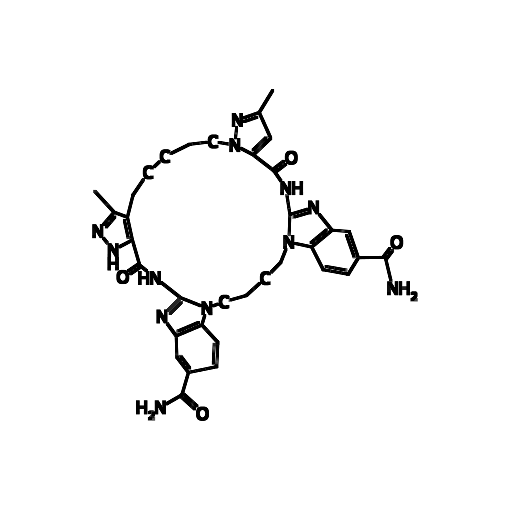 Cc1cc2n(n1)CCCCCc1c(C)n[nH]c1C(=O)Nc1nc3cc(C(N)=O)ccc3n1CCCCn1c(nc3cc(C(N)=O)ccc31)NC2=O